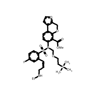 CCNC/C=C\c1cc(F)ccc1S(=O)(=O)N(COCCS(C)(C)C)c1ccc2c(c1C(=O)OC)OCc1occc1-2